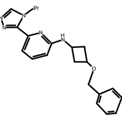 CC(C)n1cnnc1-c1cccc(NC2CC(OCc3ccccc3)C2)n1